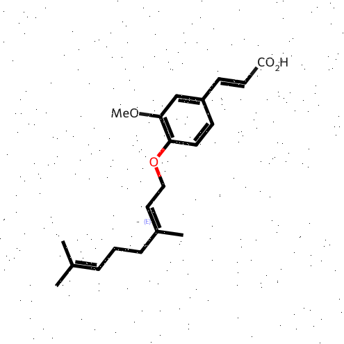 COc1cc(C=CC(=O)O)ccc1OC/C=C(\C)CCC=C(C)C